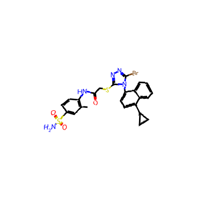 Cc1cc(S(N)(=O)=O)ccc1NC(=O)CSc1nnc(Br)n1-c1ccc(C2CC2)c2ccccc12